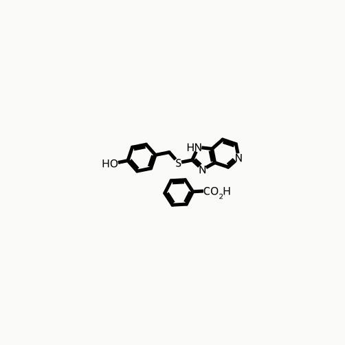 O=C(O)c1ccccc1.Oc1ccc(CSc2nc3cnccc3[nH]2)cc1